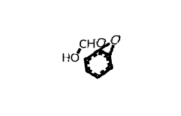 O=CO.c1ccc2c(c1)O2